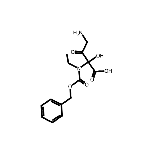 CCN(C(=O)OCc1ccccc1)C(O)(C(=O)O)C(=O)CN